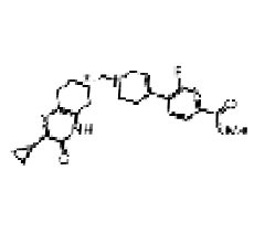 CNC(=O)c1ccc(C2=CCN(C[C@H]3CCc4nc(C5CC5)c(=O)[nH]c4C3)CC2)c(F)n1